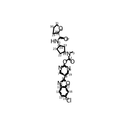 CN(C(=O)Oc1ncc(-c2nc3ccc(Cl)cc3o2)cn1)[C@@H]1CC[C@H](NC(=O)[C@@H]2CCCO2)C1